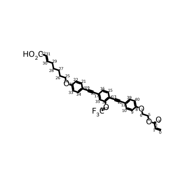 C=CC(=O)OCCOc1ccc(C#Cc2ccc(C#Cc3ccc(OCCCCCC=CC(=O)O)cc3)cc2OC(F)(F)F)cc1